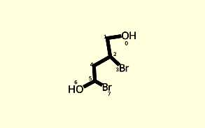 OCC(Br)CC(O)Br